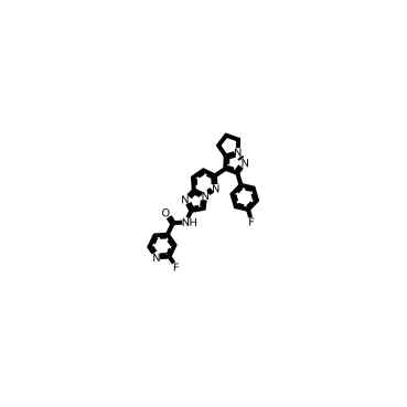 O=C(Nc1cn2nc(-c3c(-c4ccc(F)cc4)nn4c3CCC4)ccc2n1)c1ccnc(F)c1